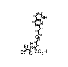 CCC(CC)C(=O)NC(CCCOCCCc1ccc2c(n1)NCCC2)C(=O)O